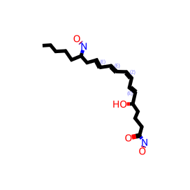 CCCCCC(C/C=C/C=C/C=C\C=C\C(O)CCCC(=O)N=O)N=O